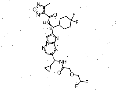 Cc1nonc1C(=O)N[C@H](c1cn2ncc(C(NC(=O)COCC(F)F)C3CC3)cc2n1)C1CCC(F)(F)CC1